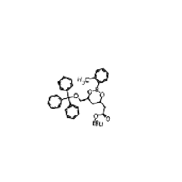 Cc1ccccc1B1OC(COC(c2ccccc2)(c2ccccc2)c2ccccc2)CC(CC(=O)OC(C)(C)C)O1